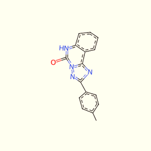 Cc1ccc(-c2nc3c4ccccc4[nH]c(=O)n3n2)cc1